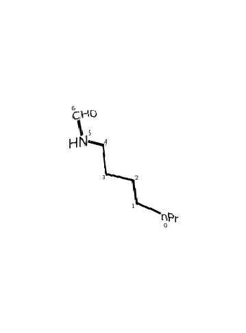 [CH2]CCCCC[CH]NC=O